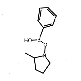 CC1CCCN1OB(O)c1ccccc1